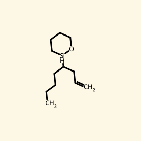 C=CCC(CCCC)[SiH]1CCCCO1